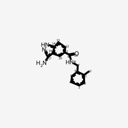 Cc1ccccc1CNC(=O)c1ccc2[nH]nc(N)c2c1